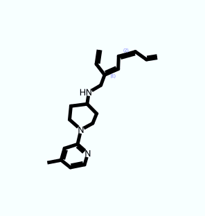 C=C/C=C\C=C(/C=C)CNC1CCN(c2cc(C)ccn2)CC1